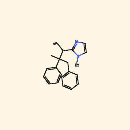 CCCC(c1nccn1CC)C(C)(Cc1ccccc1)c1ccccc1